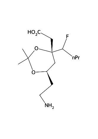 CCCC(F)[C@]1(CC(=O)O)C[C@@H](CCN)OC(C)(C)O1